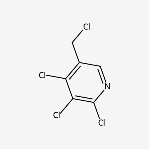 ClCc1cnc(Cl)c(Cl)c1Cl